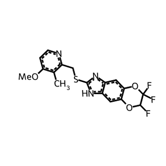 COc1ccnc(CSc2nc3cc4c(cc3[nH]2)OC(F)C(F)(F)O4)c1C